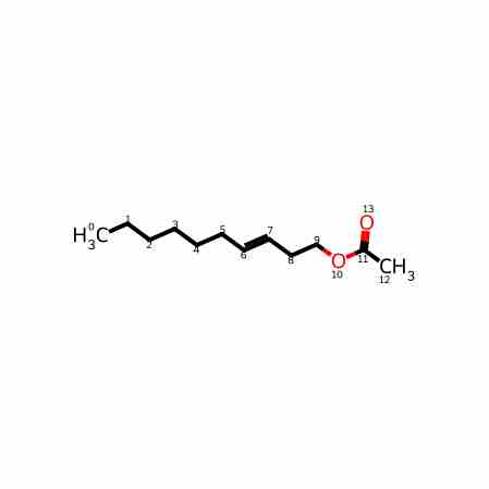 CCCCCCC=CCCOC(C)=O